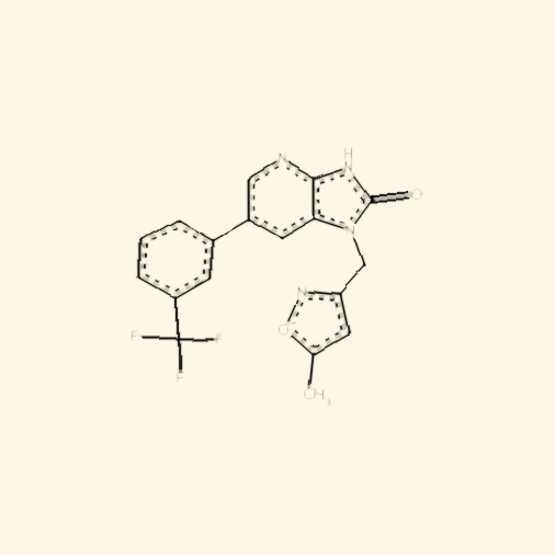 Cc1cc(Cn2c(=O)[nH]c3ncc(-c4cccc(C(F)(F)F)c4)cc32)no1